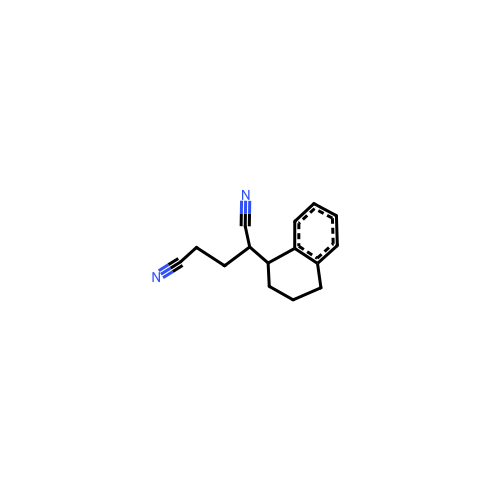 N#CCCC(C#N)C1CCCc2ccccc21